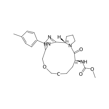 COC(=O)N[C@H]1CCCCOCc2[nH]c(nc2-c2ccc(C)cc2)[C@@H]2CCCN2C1=O